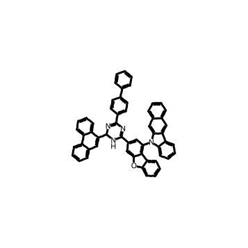 c1ccc(-c2ccc(C3=NC(c4cc5ccccc5c5ccccc45)NC(c4cc(-n5c6ccccc6c6cc7ccccc7cc65)c5c(c4)oc4ccccc45)=N3)cc2)cc1